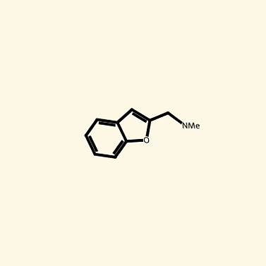 CNCc1cc2ccccc2o1